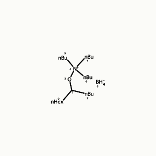 CCCCCCC(CCCC)O[N+](CCCC)(CCCC)CCCC.[BH4-]